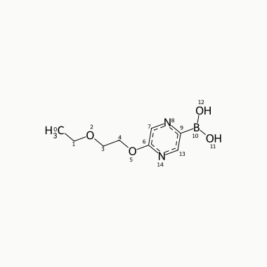 CCOCCOc1cnc(B(O)O)cn1